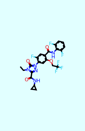 CCn1c(C(=O)NC2CC2)nn(-c2cc(OCC(F)(F)F)c(C(=O)Nc3c(F)cccc3F)cc2F)c1=O